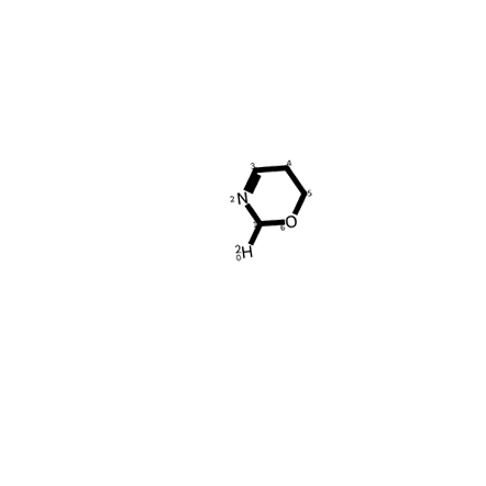 [2H]C1N=CCCO1